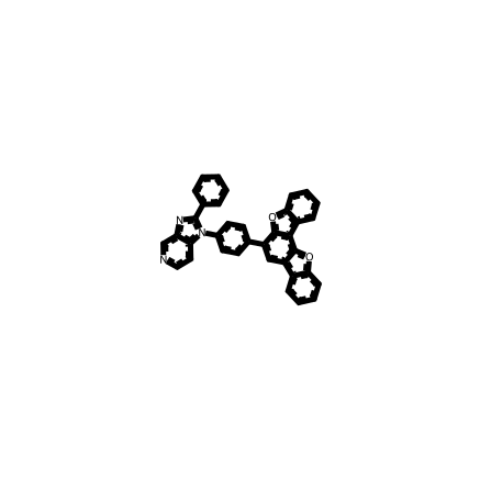 c1ccc(-c2nc3cnccc3n2-c2ccc(-c3cc4c5ccccc5oc4c4c3oc3ccccc34)cc2)cc1